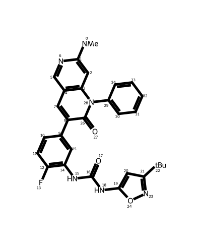 CNc1cc2c(cn1)cc(-c1ccc(F)c(NC(=O)Nc3cc(C(C)(C)C)no3)c1)c(=O)n2-c1ccccc1